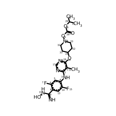 Cc1c(Nc2cc(F)c(C(=N)NO)cc2F)ncnc1OC1CCN(OC(=O)OC(C)C)CC1